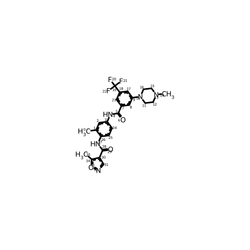 Cc1cc(NC(=O)c2cc(N3CCN(C)CC3)cc(C(F)(F)F)c2)ccc1NC(=O)c1cnoc1C